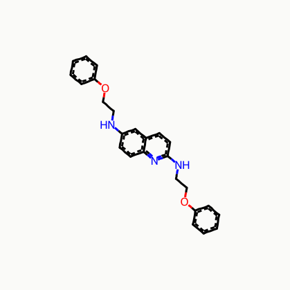 c1ccc(OCCNc2ccc3nc(NCCOc4ccccc4)ccc3c2)cc1